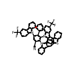 N#Cc1cc(-n2c3ccccc3c3cc(C(F)(F)F)ccc32)c(-c2ccccc2)c(-n2c3ccccc3c3cc(C(F)(F)F)ccc32)c1-n1c2ccccc2c2cc3sc4ccccc4c3cc21